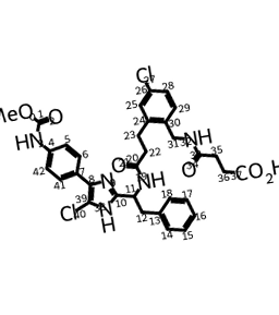 COC(=O)Nc1ccc(-c2nc(C(Cc3ccccc3)NC(=O)CCc3cc(Cl)ccc3CNC(=O)CCC(=O)O)[nH]c2Cl)cc1